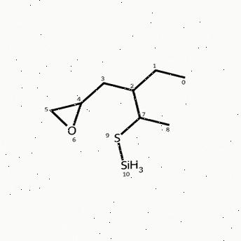 CCC(CC1CO1)C(C)S[SiH3]